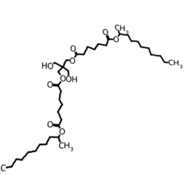 CCCCCCCCCC(C)OC(=O)CCCCCC(=O)OCC(CO)(CO)COC(=O)CCCCCC(=O)OC(C)CCCCCCCCC